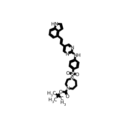 CC(C)(C)OC(=O)N1CCCN(S(=O)(=O)c2ccc(Nc3ncc(/C=C/c4cccc5[nH]ccc45)cn3)cc2)CC1